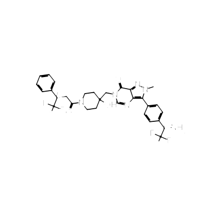 Cn1nc2c(=O)n(CC3(O)CCN(C(=O)C[C@H](c4ccccc4)C(F)(F)F)CC3)cnc2c1-c1ccc([C@H](N)C(F)(F)F)cc1